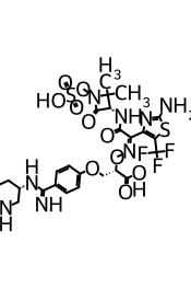 CC1(C)[C@H](NC(=O)/C(=N\O[C@@H](COc2ccc(C(=N)N[C@H]3CCCNC3)cc2)C(=O)O)c2nc(N)sc2C(F)(F)F)C(=O)N1OS(=O)(=O)O